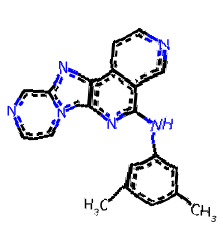 Cc1cc(C)cc(Nc2nc3c(nc4cnccn43)c3ccncc23)c1